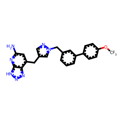 Nc1cc(Cc2cnn(Cc3cccc(-c4ccc(OC(F)(F)F)cc4)c3)c2)c2nn[nH]c2n1